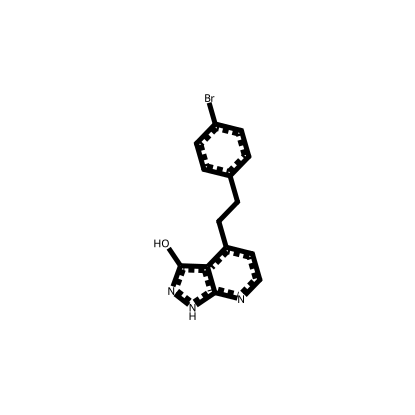 Oc1n[nH]c2nccc(CCc3ccc(Br)cc3)c12